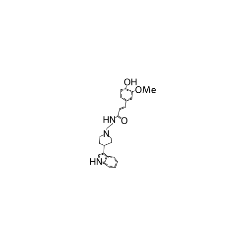 COc1cc(C=CC(=O)NCCN2CCC(c3c[nH]c4ccccc34)CC2)ccc1O